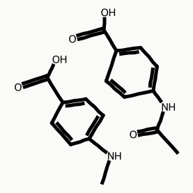 CC(=O)Nc1ccc(C(=O)O)cc1.CNc1ccc(C(=O)O)cc1